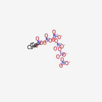 O=[N+]([O-])[O-].O=[N+]([O-])[O-].O=[N+]([O-])[O-].O=[N+]([O-])[O-].O=[N+]([O-])[O-].O=[N+]([O-])[O-].[Ca+2].[Ca+2].[Ca+2]